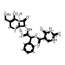 CC(=O)OCC1=C(C(=O)O)N2C(=O)[C@H](NC(=O)C(OC(=O)c3c[nH]c(=O)[nH]c3=O)c3ccccc3)[C@H]2SC1